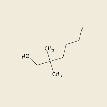 CC(C)(CO)CCCI